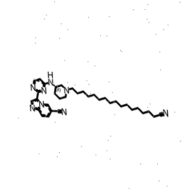 N#CCCCCCCCCCCCCCCCCN1CCC[C@@H](Nc2ccnc(-c3cnc4ccc(C#N)cn34)n2)C1